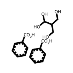 O=C(O)c1ccccc1.O=C(O)c1ccccc1.OCC(CO)C(O)O